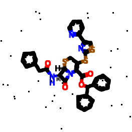 O=C(Cc1ccccc1)N[C@@H]1C(=O)N2C(C(=O)OC(c3ccccc3)c3ccccc3)=C(Sc3nc(-c4ccccn4)cs3)CS[C@H]12